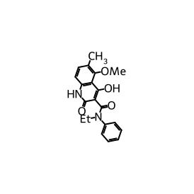 CCN(C(=O)c1c(O)c2c(OC)c(C)ccc2[nH]c1=O)c1ccccc1